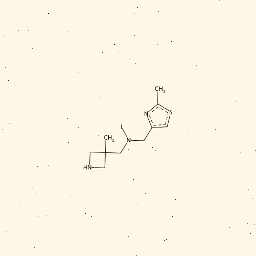 Cc1nc(CN(I)CC2(C)CNC2)cs1